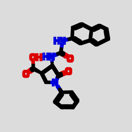 O=C(Nc1ccc2ccccc2c1)N[C@@H]1C(=O)N(c2ccccc2)C[C@H]1C(=O)O